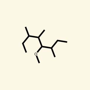 CCC(C)C(C)C(OC)C(C)CC